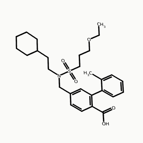 CCOCCCS(=O)(=O)N(CCC1CCCCC1)Cc1ccc(C(=O)O)c(-c2ccccc2C)c1